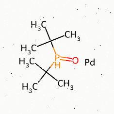 CC(C)(C)[PH](=O)C(C)(C)C.[Pd]